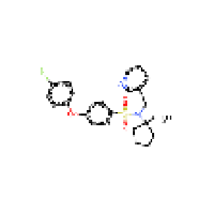 O=C(O)C1(N(Cc2cccnc2)S(=O)(=O)c2ccc(Oc3ccc(F)cc3)cc2)CCCC1